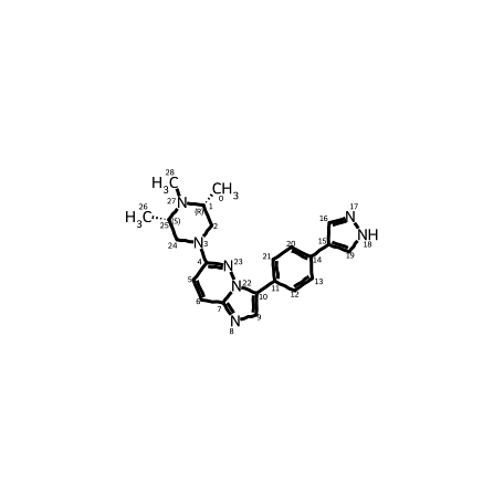 C[C@@H]1CN(c2ccc3ncc(-c4ccc(-c5cn[nH]c5)cc4)n3n2)C[C@H](C)N1C